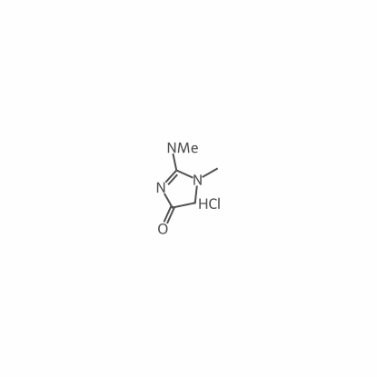 CNC1=NC(=O)CN1C.Cl